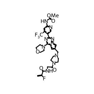 C=C(F)C(=O)NCC(=O)N1CCN(Cc2cc3c(N4CCOCC4)nc(-c4cnc(NC(=O)OC)cc4C(F)(F)F)nn3c2)CC1